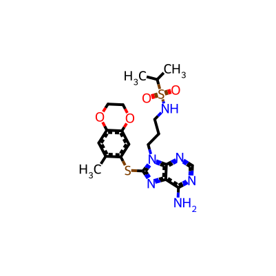 Cc1cc2c(cc1Sc1nc3c(N)ncnc3n1CCCNS(=O)(=O)C(C)C)OCCO2